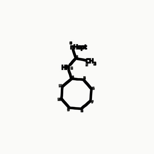 CCCCCCCC(C)NC1CCCCCCC1